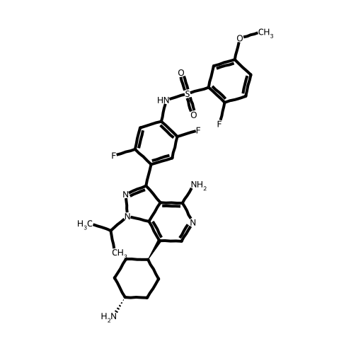 COc1ccc(F)c(S(=O)(=O)Nc2cc(F)c(-c3nn(C(C)C)c4c3c(N)ncc4[C@H]3CC[C@H](N)CC3)cc2F)c1